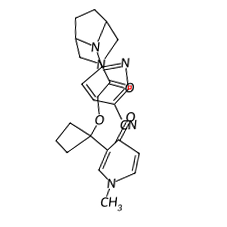 Cn1ccc(=O)c(C2(OCC(=O)N3CC4CCC(C3)N4c3ccc(C#N)cn3)CCC2)c1